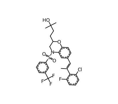 CC(=Cc1ccc2c(c1)N(S(=O)(=O)c1cccc(C(F)(F)F)c1)CC(CCC(C)(C)O)O2)c1c(F)cccc1Cl